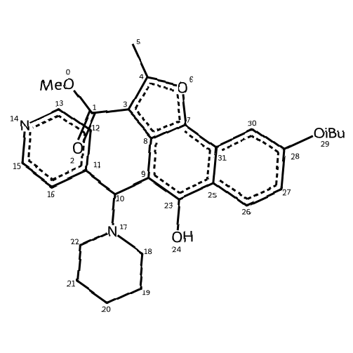 COC(=O)c1c(C)oc2c1c(C(c1ccncc1)N1CCCCC1)c(O)c1ccc(OCC(C)C)cc12